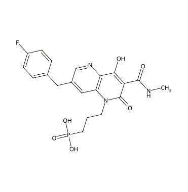 CNC(=O)c1c(O)c2ncc(Cc3ccc(F)cc3)cc2n(CCCP(=O)(O)O)c1=O